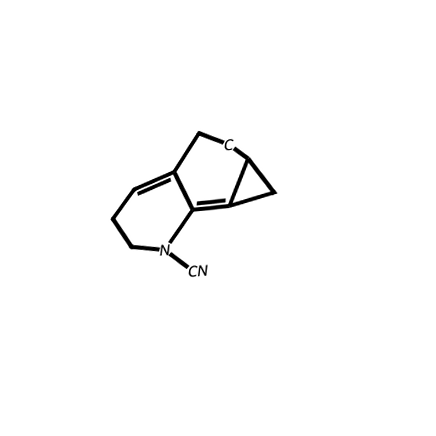 N#CN1CCC=C2CCC3CC3=C21